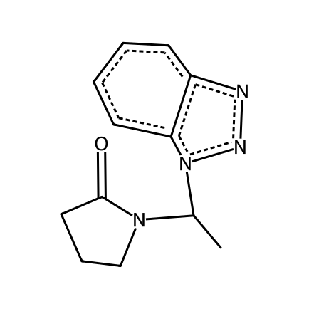 CC(N1CCCC1=O)n1nnc2ccccc21